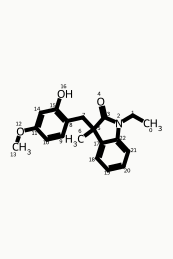 CCN1C(=O)C(C)(Cc2ccc(OC)cc2O)c2ccccc21